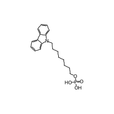 O=P(O)(O)OCCCCCCCCn1c2ccccc2c2ccccc21